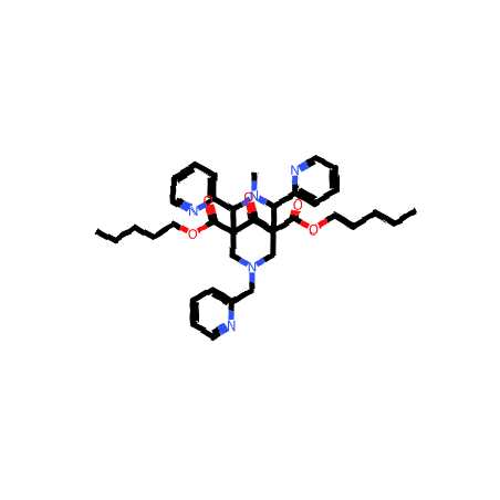 CCCCCOC(=O)C12CN(Cc3ccccn3)CC(C(=O)OCCCCC)(C1=O)C(c1ccccn1)N(C)C2c1ccccn1